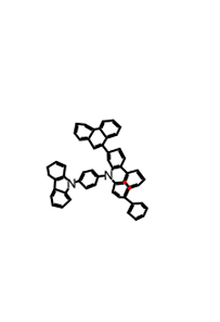 C1=Cc2c(c3ccccc3n2-c2ccc(N(c3ccc(-c4ccccc4)cc3)c3cc(-c4cc5ccccc5c5ccccc45)ccc3-c3ccccc3)cc2)CC1